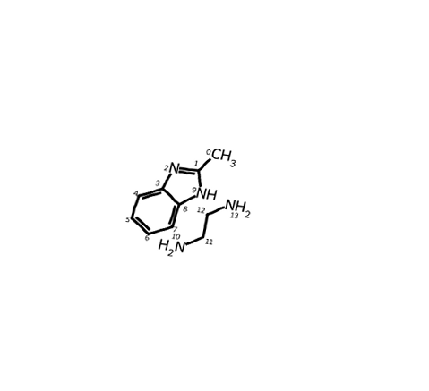 Cc1nc2ccccc2[nH]1.NCCN